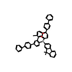 Cc1ccccc1-c1cc(-c2ccc(-c3ccccc3)cc2)ccc1N(c1ccc(-c2ccc(-c3ccccc3)cc2)cc1)c1ccc2c(c1)C(C)(C)c1ccccc1-2